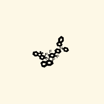 CC1(C)c2ccccc2-c2ccc(N(c3c(F)c(F)c(-c4ccc(N(c5ccccc5)c5ccc6ccccc6c5)cc4)c(F)c3F)c3cccc4ccccc34)cc21